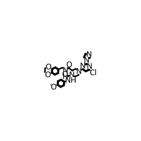 COc1ccc(NC(=O)N2CCN(c3cc(Cl)nc(-n4ccnc4)n3)CC2C(=O)NCc2ccc3c(c2)OCCO3)cc1